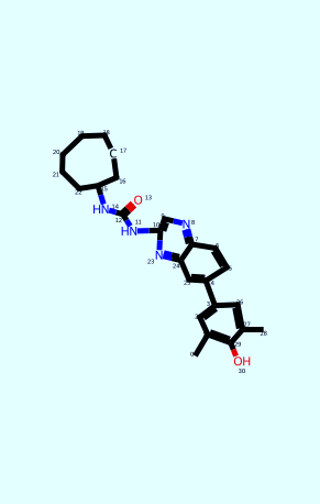 Cc1cc(-c2ccc3ncc(NC(=O)NC4CCCCCCC4)nc3c2)cc(C)c1O